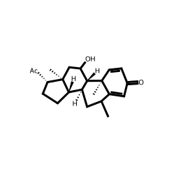 CC(=O)[C@H]1CC[C@H]2[C@@H]3CC(C)C4=CC(=O)C=C[C@]4(C)[C@H]3C(O)C[C@]12C